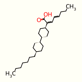 CCCC=CC=C(C(=O)O)[C@H]1CC[C@H]([C@H]2CC[C@H](CCCCCCC)CC2)CC1